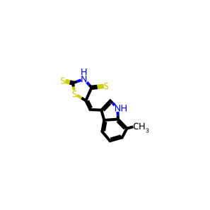 Cc1cccc2c(C=C3SC(=S)NC3=S)c[nH]c12